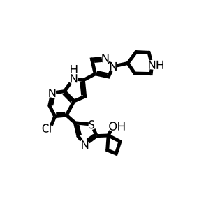 OC1(c2ncc(-c3c(Cl)cnc4[nH]c(-c5cnn(C6CCNCC6)c5)cc34)s2)CCC1